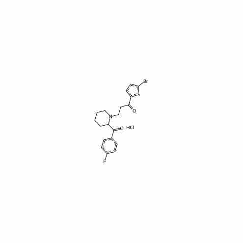 Cl.O=C(CCN1CCCCC1C(=O)c1ccc(F)cc1)c1ccc(Br)s1